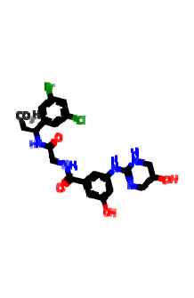 O=C(O)C[C@H](NC(=O)CNC(=O)c1cc(O)cc(NC2=NCC(O)CN2)c1)c1cc(Cl)cc(Br)c1